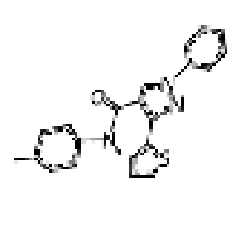 Cc1ccc(N(C)C(=O)c2cn(-c3ccccc3)nc2-c2cccs2)cc1